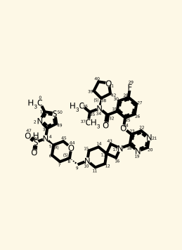 Cc1nc(N([C@@H]2CC[C@@H](CN3CCC4(CC3)CN(c3ncncc3Oc3ccc(F)cc3C(=O)N(C(C)C)[C@H]3CCOC3)C4)OC2)[SH](=O)=O)cs1